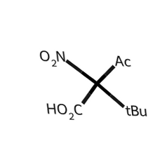 CC(=O)C(C(=O)O)([N+](=O)[O-])C(C)(C)C